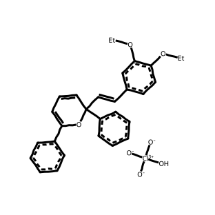 CCOc1ccc(C=CC2(c3ccccc3)C=CC=C(c3ccccc3)O2)cc1OCC.[O-][Cl+3]([O-])([O-])O